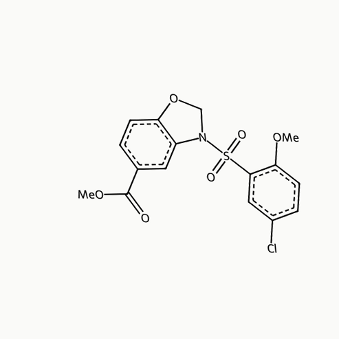 COC(=O)c1ccc2c(c1)N(S(=O)(=O)c1cc(Cl)ccc1OC)CO2